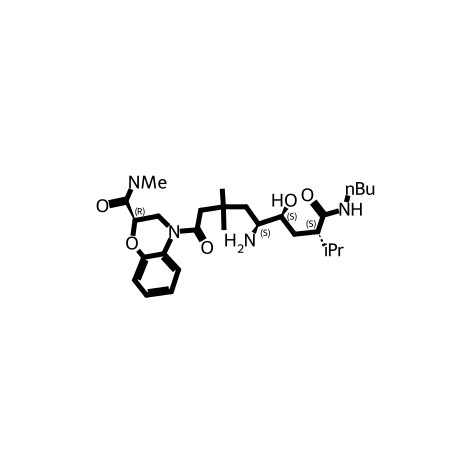 CCCCNC(=O)[C@@H](C[C@H](O)[C@@H](N)CC(C)(C)CC(=O)N1C[C@H](C(=O)NC)Oc2ccccc21)C(C)C